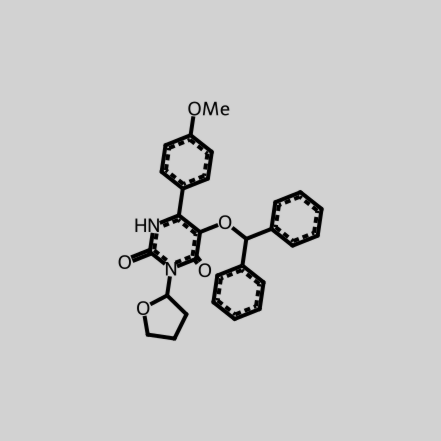 COc1ccc(-c2[nH]c(=O)n(C3CCCO3)c(=O)c2OC(c2ccccc2)c2ccccc2)cc1